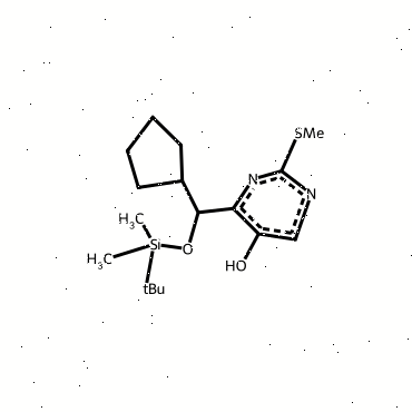 CSc1ncc(O)c(C(O[Si](C)(C)C(C)(C)C)C2CCCC2)n1